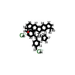 Cc1ccc([C](c2ccc(C)cc2)=[Zr+2]([C]2=CC=CC2)[CH]2c3cc4c(cc3-c3cc5c(cc32)C(C)(C)C=C5)C=CC4(C)C)cc1.[Cl-].[Cl-]